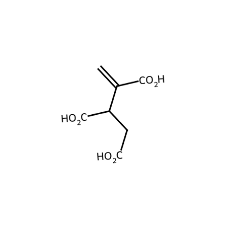 C=C(C(=O)O)C(CC(=O)O)C(=O)O